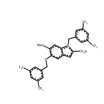 COc1cc2c(cc1OCc1cc(C(F)(F)F)cc(C(F)(F)F)c1)cc(C(=O)O)n2Cc1cc(C(F)(F)F)cc(C(F)(F)F)c1